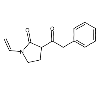 C=CN1CCC(C(=O)Cc2ccccc2)C1=O